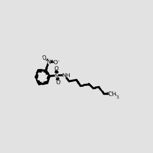 CCCCCCCCNS(=O)(=O)c1ccccc1[N+](=O)[O-]